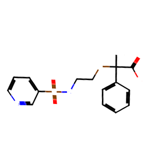 CC(SCCNS(=O)(=O)c1cccnc1)(C(=O)O)c1ccccc1